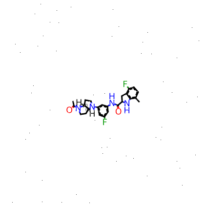 CC(=O)N1CC[C@@H]2[C@H]1CCN2c1cc(F)cc(NC(=O)C2Cc3c(F)ccc(C)c3N2)c1